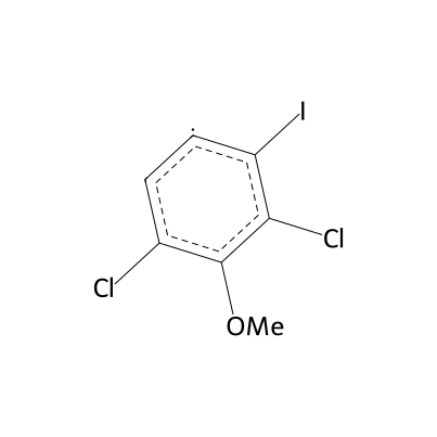 COc1c(Cl)c[c]c(I)c1Cl